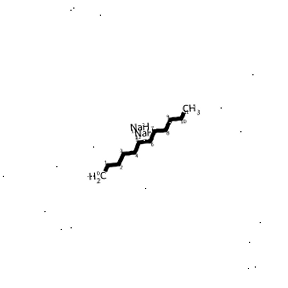 [CH2]CCCCCCCCCCC.[NaH].[NaH]